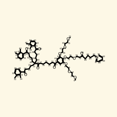 COCCOCCOc1cc(C(=O)CCCCCC(=O)C(CCCCC(=O)c2cccc(C)c2C)(CCCCC(=O)c2cccc(C)c2C)CCCCC(=O)c2cccc(C)c2C)cc(OCCOCCOC)c1OCCOCCC(=O)CCCC[n+]1ccccc1